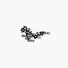 CN[C@@H](C)C(=O)NC(C(=O)N1C[C@@H](NC(=O)c2cccc(C(=O)N[C@@H]3CN[C@H](C=O)C3)c2)CC1C(=O)N[C@@H]1CCCc2ccccc21)C(C)(C)C